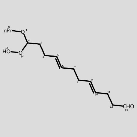 CCCOC(CC/C=C/CC/C=C/CCC=O)OO